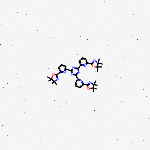 CC1(C)N=C(c2cccc(-c3nc(-c4cccc(C5=NC(C)(C)C(C)(C)O5)n4)nc(-c4cccc(C5=NC(C)(C)C(C)(C)O5)n4)n3)n2)OC1(C)C